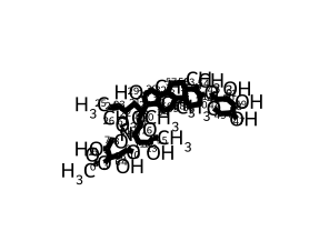 CC(=O)OC1C(O)COC(OC2C(O)C(C)OC(OC(C)(CCC=C(C)C)C3C(O)CC4(C)C3CCC3C5(C)CCC(OC6OCC(O)C(O)C6O)C(C)(C)C5CCC34C)C2N=O)C1O